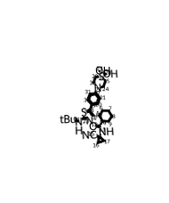 CC(C)(C)Nc1nc([C@@H]2CCCC[C@H]2C(=O)NC2(C#N)CC2)c(-c2ccc(N3CCS(O)(O)CC3)cc2)s1